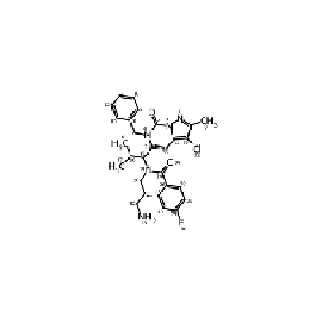 Cc1nn2c(=O)n(Cc3ccccc3)c(C(C(C)C)N(CCCN)C(=O)c3ccc(F)cc3)cc2c1Cl